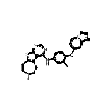 Cc1cc(Nc2ncnc3sc4c(c23)CCNCC4)ccc1Oc1ccn2ccnc2c1